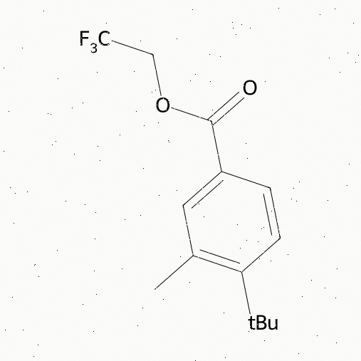 Cc1cc(C(=O)OCC(F)(F)F)ccc1C(C)(C)C